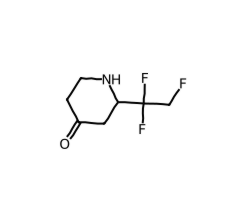 O=C1CCNC(C(F)(F)CF)C1